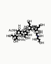 CC(=O)NC1C(O)[C@H](O[C@@H]2OC(CO)[C@@H](O)C(O[C@@H](O)C(O[C@@H](O)C(O[C@@H](O)/C=C(\O)[C@H](O)CCO)C(O)[C@H](O)CCO)C(O)[C@H](O)CCO)C2O)C(CO)O[C@H]1O[C@@H]1C(CO)O[C@@H](O)C(NC(C)=O)C1O